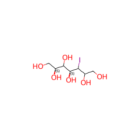 OCC(O)C(I)[C@@H](O)C(O)[C@@H](O)CO